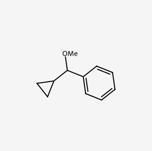 COC(c1ccccc1)C1CC1